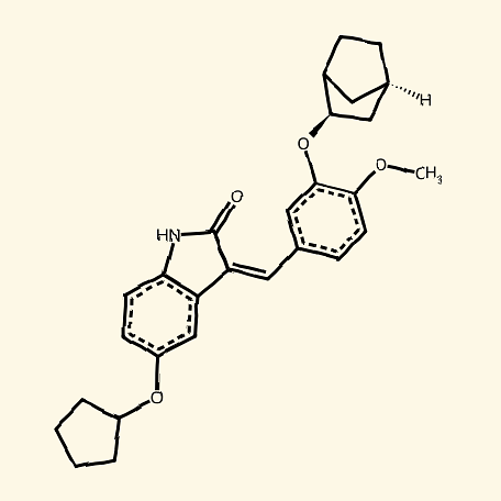 COc1ccc(/C=C2\C(=O)Nc3ccc(OC4CCCC4)cc32)cc1O[C@@H]1C[C@@H]2CCC1C2